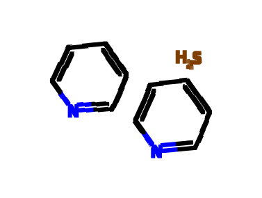 S.c1ccncc1.c1ccncc1